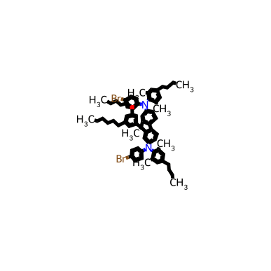 CCCCCCc1cc(CCCCCC)cc(C2(C)c3cc(N(c4ccc(Br)cc4)c4c(C)cc(CCCC)cc4C)ccc3-c3ccc(N(c4ccc(Br)cc4)c4c(C)cc(CCCC)cc4C)cc32)c1